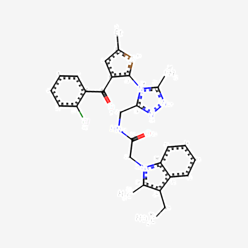 CCc1cc(C(=O)c2ccccc2Cl)c(-n2c(C)nnc2CNC(=O)Cn2c(C)c(CC(=O)O)c3ccccc32)s1